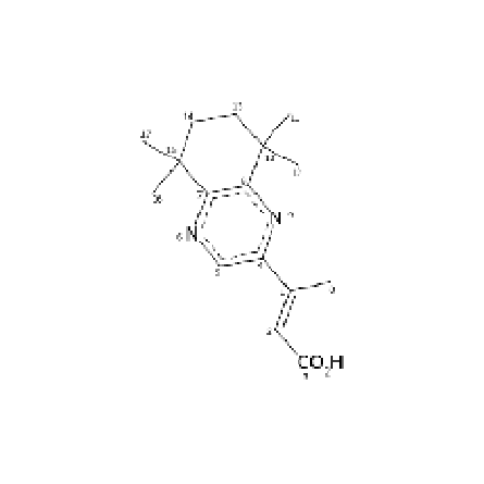 C/C(=C\C(=O)O)c1cnc2c(n1)C(C)(C)CCC2(C)C